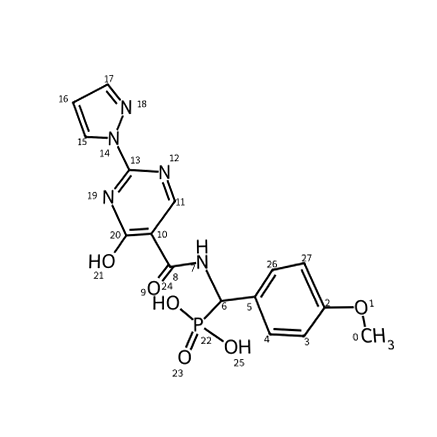 COc1ccc(C(NC(=O)c2cnc(-n3cccn3)nc2O)P(=O)(O)O)cc1